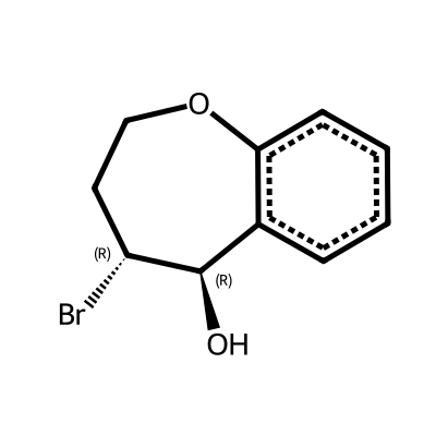 O[C@@H]1c2ccccc2OCC[C@H]1Br